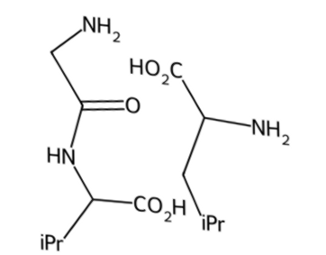 CC(C)C(NC(=O)CN)C(=O)O.CC(C)CC(N)C(=O)O